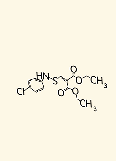 CCOC(=O)C(=CSNc1ccc(Cl)cc1)C(=O)OCC